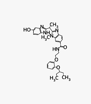 CCC(CC)Oc1ccccc1OCCNC(=O)c1ccc2nc(C(C)c3nc4cc(O)ccc4[nH]3)n(C)c2c1